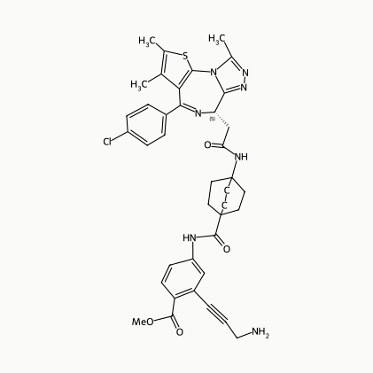 COC(=O)c1ccc(NC(=O)C23CCC(NC(=O)C[C@@H]4N=C(c5ccc(Cl)cc5)c5c(sc(C)c5C)-n5c(C)nnc54)(CC2)CC3)cc1C#CCN